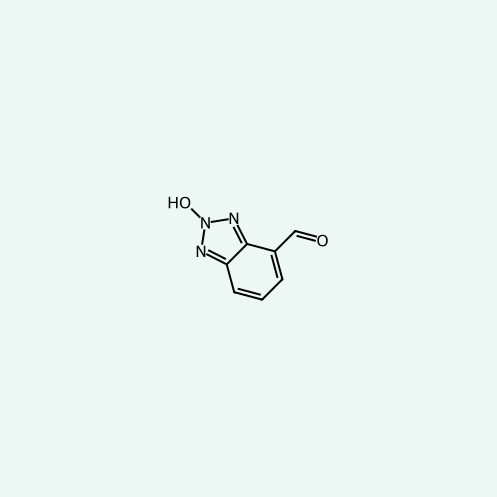 O=Cc1cccc2nn(O)nc12